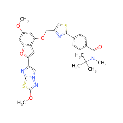 COc1cc(OCc2csc(-c3ccc(C(=O)N(C)C(C)(C)C)cc3)n2)c2cc(-c3cn4nc(OC)sc4n3)oc2c1